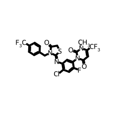 Cn1c(C(F)(F)F)cc(=O)n(-c2cc(N=C3SCC(=O)N3Cc3ccc(C(F)(F)F)cc3)c(Cl)cc2F)c1=O